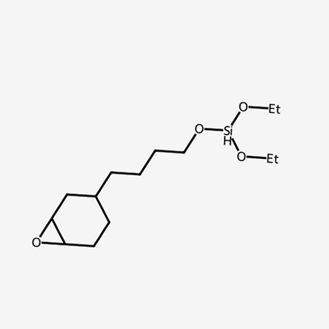 CCO[SiH](OCC)OCCCCC1CCC2OC2C1